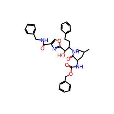 CC(C)CC(NC(=O)OCc1ccccc1)C(=O)NC(CCc1ccccc1)C(O)c1nc(C(=O)NCc2ccccc2)co1